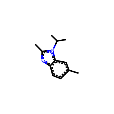 Cc1ccc2nc(C)n(C(C)C)c2c1